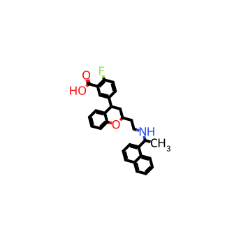 CC(NCCC1CC(c2ccc(F)c(C(=O)O)c2)c2ccccc2O1)c1cccc2ccccc12